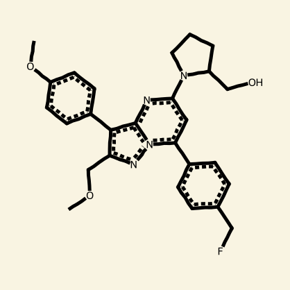 COCc1nn2c(-c3ccc(CF)cc3)cc(N3CCCC3CO)nc2c1-c1ccc(OC)cc1